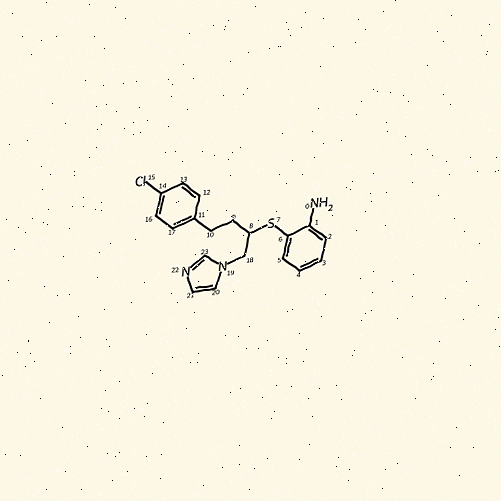 Nc1ccccc1SC(CCc1ccc(Cl)cc1)Cn1ccnc1